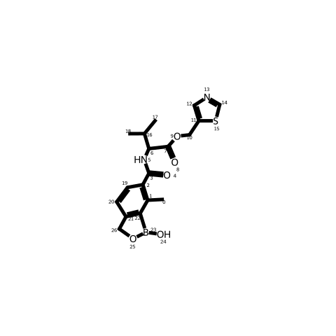 Cc1c(C(=O)NC(C(=O)OCc2cncs2)C(C)C)ccc2c1B(O)OC2